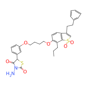 CCCc1c(OCCCCOc2cccc(C3SC(=O)N(N)C3=O)c2)ccc2c1S(=O)(=O)C=C2CCc1ccccc1